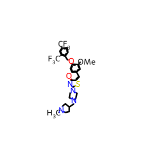 COc1cc(/C=C2/SC(N3CCN(CC4CCN(C)CC4)CC3)=NC2=O)ccc1OCc1ccc(C(F)(F)F)cc1C(F)(F)F